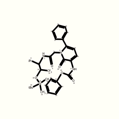 CC(C)C(NC(=O)Cn1c(-c2ccccc2)ccc(NC(=O)Oc2ccccc2)c1=O)C(O[Si](C)(C)C(C)(C)C)C(F)(F)F